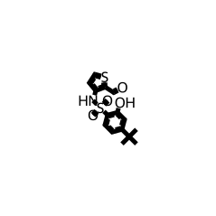 CC(C)(C)c1ccc(S(=O)(=O)Nc2ccsc2C=O)c(O)c1